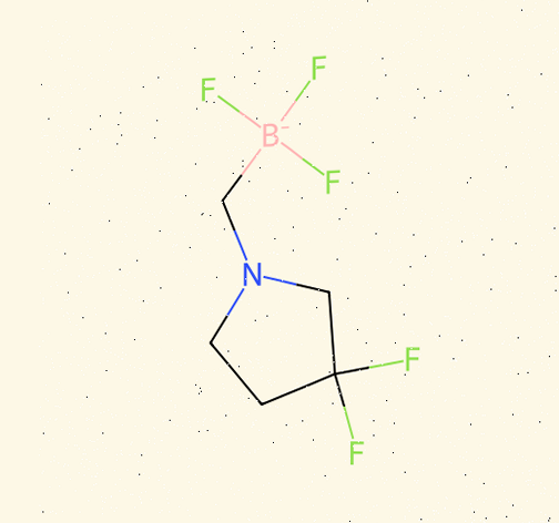 F[B-](F)(F)CN1CCC(F)(F)C1